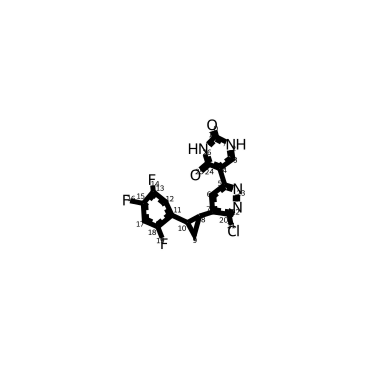 O=c1[nH]cc(-c2cc(C3CC3c3cc(F)c(F)cc3F)c(Cl)nn2)c(=O)[nH]1